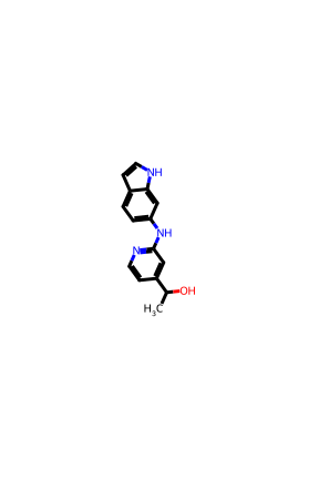 CC(O)c1ccnc(Nc2ccc3cc[nH]c3c2)c1